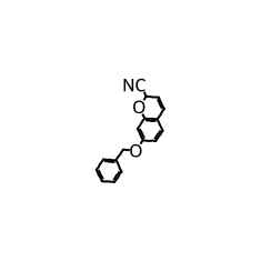 N#CC1C=Cc2ccc(OCc3ccccc3)cc2O1